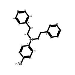 CCCCc1ccc(N(CCc2ccccc2)CCc2ccccc2)cc1